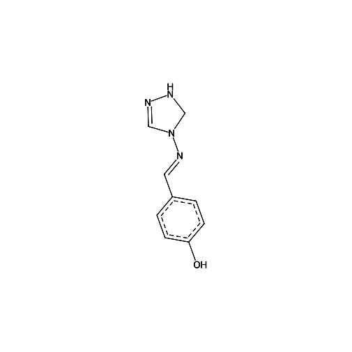 Oc1ccc(C=NN2C=NNC2)cc1